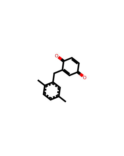 Cc1ccc(C)c(CC2=CC(=O)C=CC2=O)c1